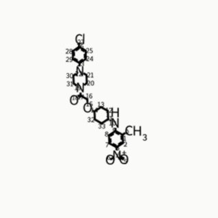 Cc1cc([N+](=O)[O-])ccc1N[C@H]1CC[C@H](OCC(=O)N2CCN(c3ccc(Cl)cc3)CC2)CC1